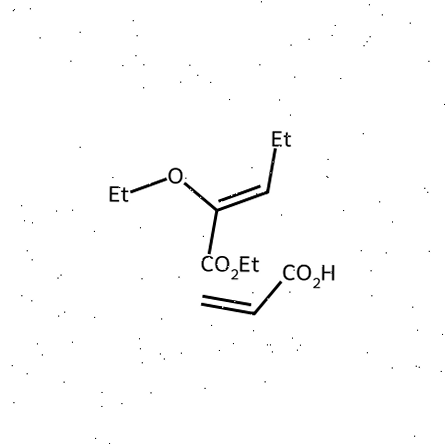 C=CC(=O)O.CCC=C(OCC)C(=O)OCC